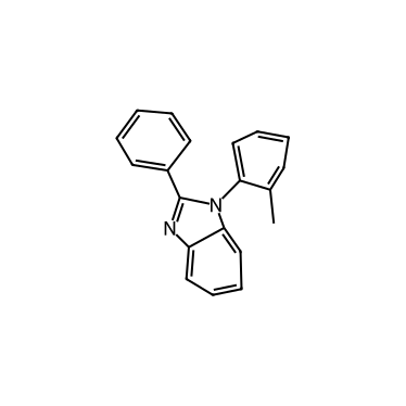 Cc1ccccc1-n1c(-c2ccccc2)nc2ccccc21